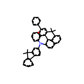 CC1(C)c2ccccc2-c2ccc(N(c3ccccc3)c3ccc4cccc5c4c3-c3ccc(-c4ccccc4)cc3C5(C)C)cc21